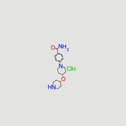 Cl.NC(=O)c1ccc(N2CCC(OC3CCNCC3)CC2)cc1